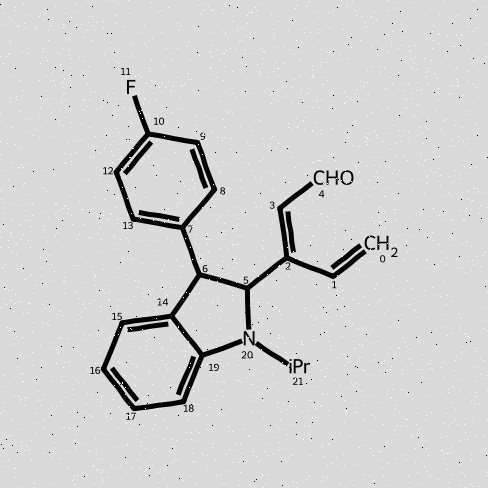 C=CC(=CC=O)C1C(c2ccc(F)cc2)c2ccccc2N1C(C)C